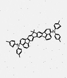 Cc1ccc(N(c2ccc(C)cc2)c2ccc3c4c(cccc24)-c2cc4c(cc2-3)C(C)(C)c2cc3c(cc2-4)-c2cccc4c(N(c5ccc(C)cc5)c5ccc(C)cc5)ccc-3c24)cc1